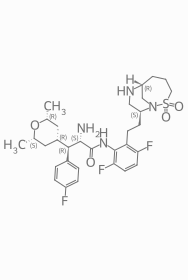 C[C@@H]1C[C@H]([C@H](c2ccc(F)cc2)[C@H](N)C(=O)Nc2c(F)ccc(F)c2CC[C@H]2CN[C@@H]3CCCS(=O)(=O)N2C3)C[C@H](C)O1